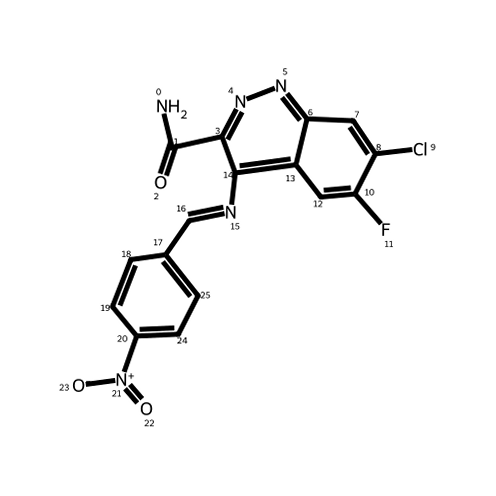 NC(=O)c1nnc2cc(Cl)c(F)cc2c1N=Cc1ccc([N+](=O)[O-])cc1